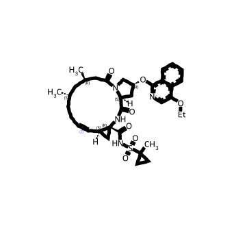 CCOc1cnc(O[C@@H]2C[C@H]3C(=O)N[C@]4(C(=O)NS(=O)(=O)C5(C)CC5)C[C@H]4/C=C\CC[C@H](C)C[C@@H](C)CC(=O)N3C2)c2ccccc12